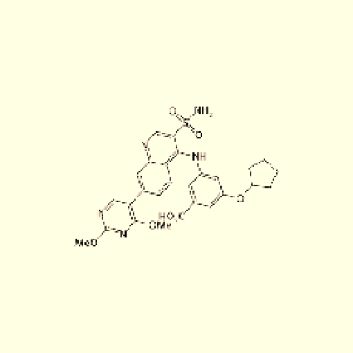 COc1ncc(-c2ccc3c(Nc4cc(OC5CCCC5)cc(C(=O)O)c4)c(S(N)(=O)=O)cnc3c2)c(OC)n1